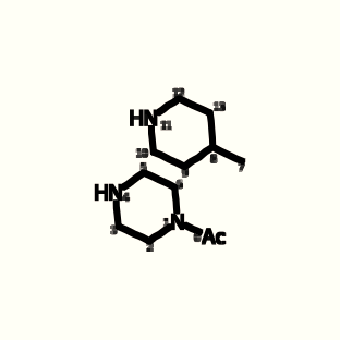 CC(=O)N1CCNCC1.CC1CCNCC1